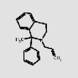 C=CCN1CCc2ccccc2C1(C)c1ccccc1